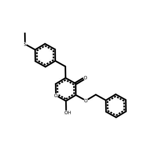 CSc1ccc(Cc2coc(O)c(OCc3ccccc3)c2=O)cc1